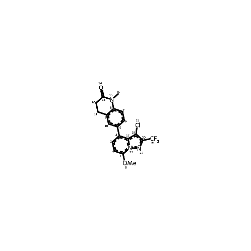 COc1ccc(-c2ccc3c(c2)CCC(=O)N3C)c2c(Cl)c(C(F)(F)F)nn12